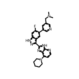 CN(C)Cc1cncc(-c2cc3c(-c4nc5c(N6CCCCC6)ccnc5[nH]4)n[nH]c3cc2F)c1